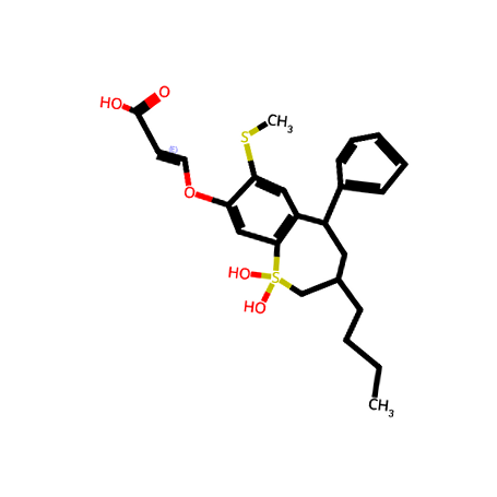 CCCCC1CC(c2ccccc2)c2cc(SC)c(O/C=C/C(=O)O)cc2S(O)(O)C1